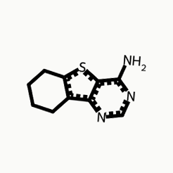 Nc1ncnc2c3c(sc12)CCCC3